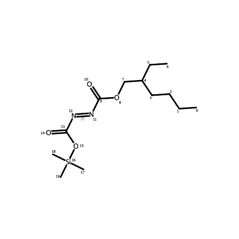 CCCCC(CC)COC(=O)/N=N/C(=O)O[Si](C)(C)C